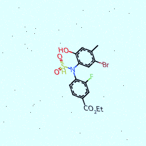 CCOC(=O)c1ccc(N(c2cc(Br)c(C)cc2O)[SH](=O)=O)c(F)c1